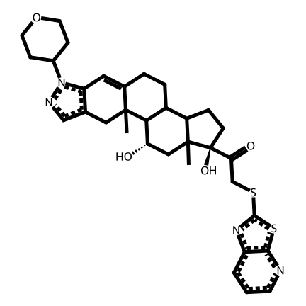 CC12Cc3cnn(C4CCOCC4)c3C=C1CCC1C2[C@@H](O)CC2(C)C1CC[C@]2(O)C(=O)CSc1nc2cccnc2s1